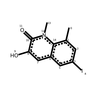 Cc1cc(I)cc2cc(O)c(=O)n(C)c12